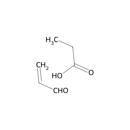 C=CC=O.CCC(=O)O